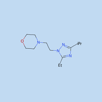 CCc1nc(C(C)C)nn1CCN1CCOCC1